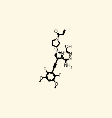 C=CC(=O)N1CC[C@H](n2cc(C#Cc3c(F)c(OC)cc(OC)c3F)c3c(N)nnc(O)[n+]32)C1